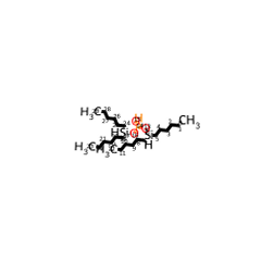 CCCCCC[SiH](CCCCCC)O[PH](=O)O[SiH](CCCCCC)CCCCCC